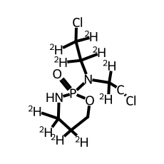 [2H]C([2H])(CCl)N(C([2H])([2H])C([2H])([2H])Cl)P1(=O)NC([2H])([2H])C([2H])([2H])CO1